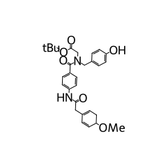 COC1C=CC(CC(=O)Nc2ccc(C(=O)N(CC(=O)OC(C)(C)C)Cc3ccc(O)cc3)cc2)=CC1